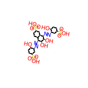 O=S(=O)(O)c1ccc(O)c(N=Nc2c(O)c(O)c(N=Nc3cc(S(=O)(=O)O)ccc3O)c3cc(S(=O)(=O)O)ccc23)c1